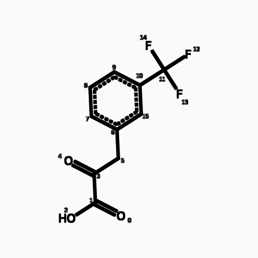 O=C(O)C(=O)Cc1cccc(C(F)(F)F)c1